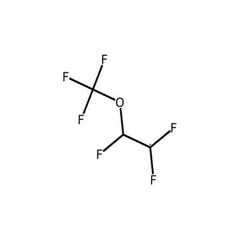 F[C](F)C(F)OC(F)(F)F